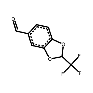 O=Cc1ccc2c(c1)OC(C(F)(F)F)O2